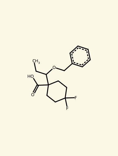 CCC(OCc1ccccc1)C1(C(=O)O)CCC(F)(F)CC1